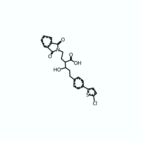 O=C(O)C(CCN1C(=O)c2ccccc2C1=O)C(O)CCc1ccc(-c2ccc(Cl)s2)cc1